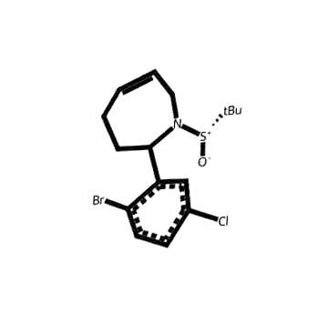 CC(C)(C)[S@+]([O-])N1CC=CCCC1c1cc(Cl)ccc1Br